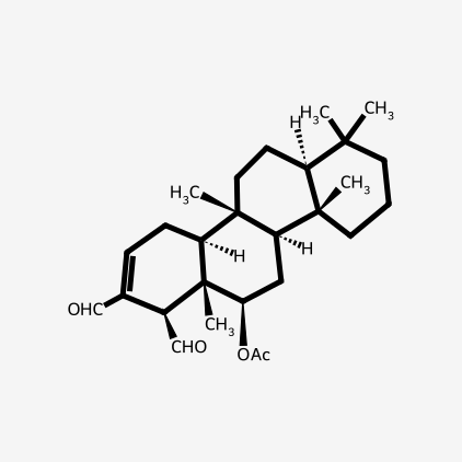 CC(=O)O[C@@H]1C[C@@H]2[C@@]3(C)CCCC(C)(C)[C@@H]3CC[C@@]2(C)[C@@H]2CC=C(C=O)[C@H](C=O)[C@@]12C